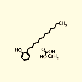 CCCCCCCCCCCCc1ccccc1O.O=C(O)O.[CaH2]